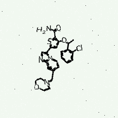 CC(Oc1cc(-c2cnc3cc(CN4CCOCC4)ccn23)sc1C(N)=O)c1ccccc1Cl